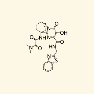 CN(C)C(=O)C(=O)NC12CCC(CC1)Cn1c2nc(C(=O)NCc2nc3ccccc3s2)c(O)c1=O